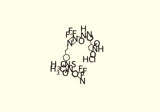 CC1(C)C(=O)N(c2ccc(C#N)c(C(F)(F)F)c2)C(=S)N1[C@H]1CC[C@H](CCCN2CCN(CC(=O)Nc3cc(C4CCC(=O)NC4=O)ccn3)[C@@H](C(F)(F)F)C2)CC1.Cl